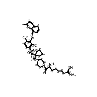 Cc1ccc2cccc(OCc3c(Cl)ccc(S(=O)(=O)NC4(C(=O)N5CCN(C(=O)C(N)CCCCNC(=N)N)CC5)CCCC4)c3Cl)c2n1